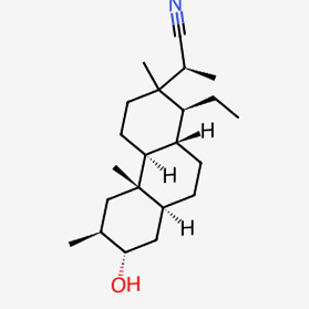 CC[C@H]1[C@@H]2CC[C@H]3C[C@H](O)[C@@H](C)C[C@]3(C)[C@H]2CCC1(C)[C@H](C)C#N